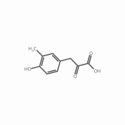 Cc1cc(CC(=O)C(=O)O)ccc1O